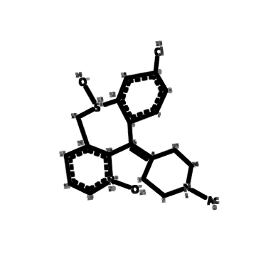 CC(=O)N1CCC(=C2c3ccc(Cl)cc3[S+]([O-])Cc3ccc[n+]([O-])c32)CC1